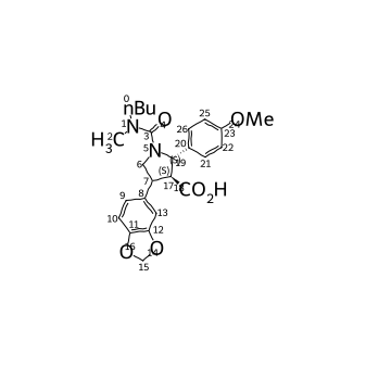 CCCCN(C)C(=O)N1CC(c2ccc3c(c2)OCO3)[C@H](C(=O)O)[C@H]1c1ccc(OC)cc1